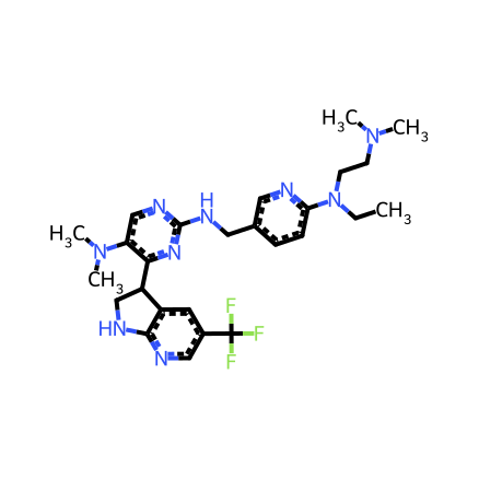 CCN(CCN(C)C)c1ccc(CNc2ncc(N(C)C)c(C3CNc4ncc(C(F)(F)F)cc43)n2)cn1